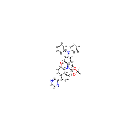 CC1(C)OC2c3ccc(-c4cnccn4)c4ccc5c(c34)N(c3ccc(N(c4ccccc4)c4ccccc4)cc3O5)[C@H]2O1